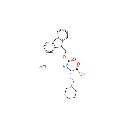 Cl.O=C(N[C@@H](CCN1CCCCC1)C(=O)O)OCC1c2ccccc2-c2ccccc21